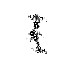 C=C(CC1CCc2cc(OCc3cccc(-c4c(C)cc(OCCCOC(C)(C)O)cc4C)c3C)ccc21)N/N=N\N